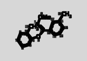 CO/N=C(/Oc1ccccc1C)c1cc[c]c(C)c1